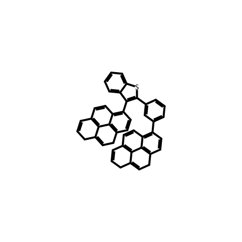 C1=Cc2ccc3c(-c4cccc(-c5sc6ccccc6c5-c5ccc6c7c8c(ccc57)C=CCC8=CC6)c4)ccc4c3c2C(=CC4)C1